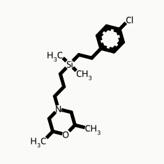 CC1CN(CCC[Si](C)(C)CCc2ccc(Cl)cc2)CC(C)O1